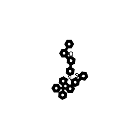 c1ccc(-c2cccc3c2oc2ccc(-c4ccc(N(c5cccc6c5-c5ccccc5C6(c5ccccc5)c5ccccc5)c5cccc6c5sc5ccccc56)cc4)cc23)cc1